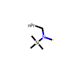 [CH2]N(CCCC)[Si](C)(C)C